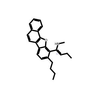 CC/C=C(\NC)c1c(CCCC)ccc2c1oc1c3ccccc3ccc21